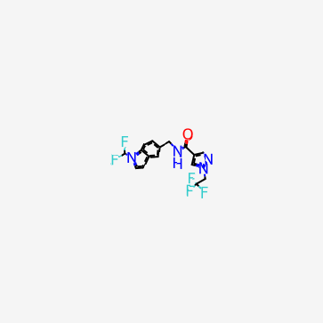 O=C(NCc1ccc2c(ccn2C(F)F)c1)c1cnn(CC(F)(F)F)c1